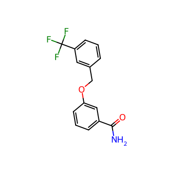 NC(=O)c1cccc(OCc2cccc(C(F)(F)F)c2)c1